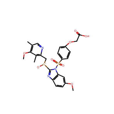 COc1ccc2nc([S+]([O-])Cc3ncc(C)c(OC)c3C)n(S(=O)(=O)c3ccc(OCC(=O)O)cc3)c2c1